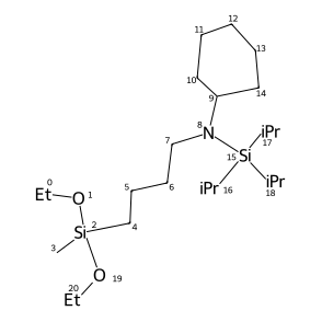 CCO[Si](C)(CCCCN(C1CCCCC1)[Si](C(C)C)(C(C)C)C(C)C)OCC